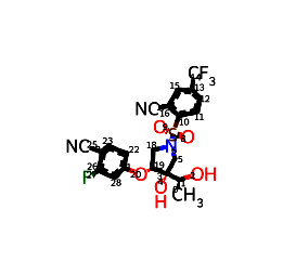 C[C@H](O)[C@]1(O)CN(S(=O)(=O)c2ccc(C(F)(F)F)cc2C#N)C[C@@H]1Oc1ccc(C#N)c(F)c1